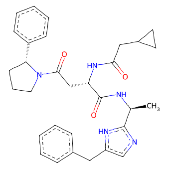 C[C@H](NC(=O)[C@H](CC(=O)N1CCC[C@@H]1c1ccccc1)NC(=O)CC1CC1)c1ncc(Cc2ccccc2)[nH]1